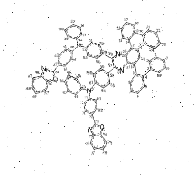 c1ccc(-c2ccccc2-c2ccc(-c3ccccc3-c3ccccc3)c3nc(-c4ccc(N(c5ccccc5)c5ccc(-c6nc7ccccc7o6)cc5)cc4)c(-c4ccc(N(c5ccccc5)c5ccc(-c6nc7ccccc7o6)cc5)cc4)nc23)cc1